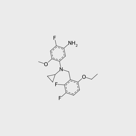 CCOc1ccc(F)c(F)c1CN(c1cc(N)c(F)cc1OC)C1CC1